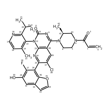 C=CC(=O)N1CCN(c2nc(=O)n(-c3c(C)ccnc3C(C)C)c3nc(-c4c(F)c(O)cc5ccoc45)c(Cl)cc23)[C@@H](C)C1